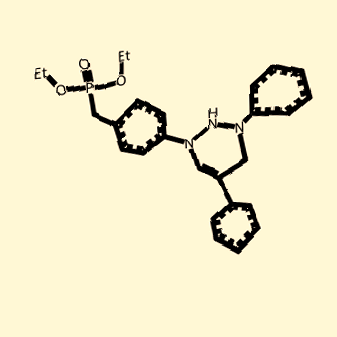 CCOP(=O)(Cc1ccc(N2C=C(c3ccccc3)CN(c3ccccc3)N2)cc1)OCC